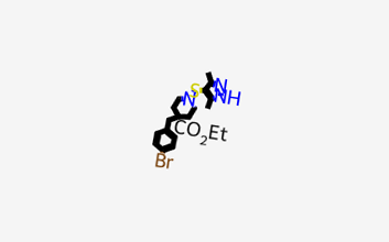 CCOC(=O)C1(Cc2ccc(Br)cc2)CCN(Sc2c(C)n[nH]c2C)CC1